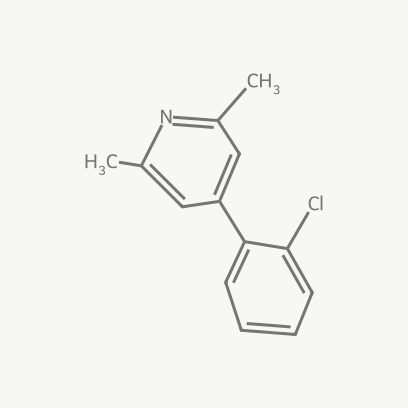 Cc1cc(-c2ccccc2Cl)cc(C)n1